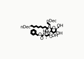 CCCCCCCCCCCCCCCCCC(=O)N(CCCCCCCCCCCC)[C@@H]1O[C@H](CO)[C@@H](O)[C@H](O)[C@H]1NC(=O)[C@H](C)NC(=O)OCc1ccccc1